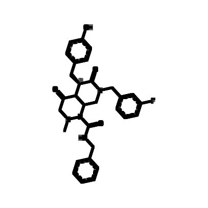 CN1CC(=O)C2C(CN(Cc3cccc(F)c3)C(=O)[C@@H]2Cc2ccc(O)cc2)N1C(=O)NCc1ccccc1